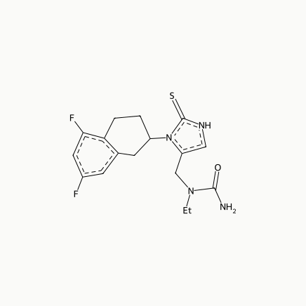 CCN(Cc1c[nH]c(=S)n1C1CCc2c(F)cc(F)cc2C1)C(N)=O